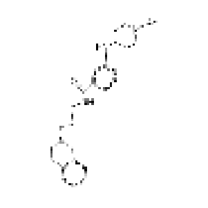 CC(=O)N1CCC(Nc2cc(C(=O)NCCCN3CCc4ccccc4C3)ccn2)CC1